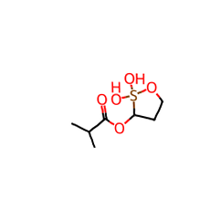 CC(C)C(=O)OC1CCOS1(O)O